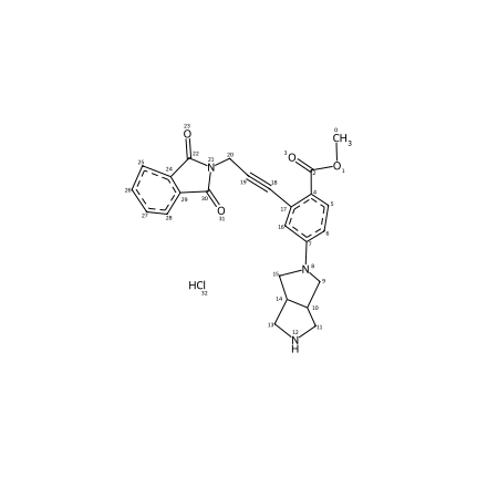 COC(=O)c1ccc(N2CC3CNCC3C2)cc1C#CCN1C(=O)c2ccccc2C1=O.Cl